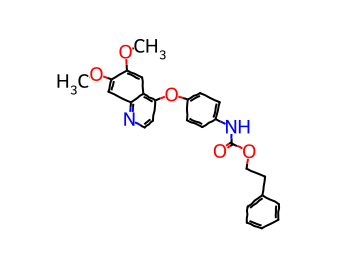 COc1cc2nccc(Oc3ccc(NC(=O)OCCc4ccccc4)cc3)c2cc1OC